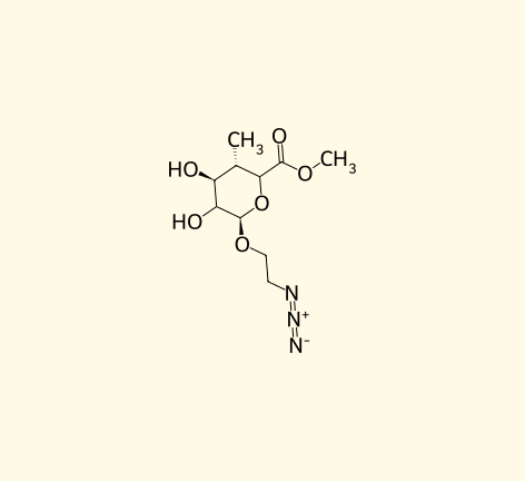 COC(=O)C1O[C@@H](OCCN=[N+]=[N-])C(O)[C@@H](O)[C@@H]1C